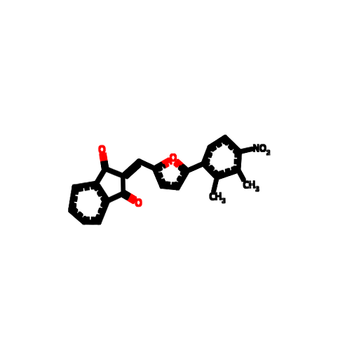 Cc1c(-c2ccc(C=C3C(=O)c4ccccc4C3=O)o2)ccc([N+](=O)[O-])c1C